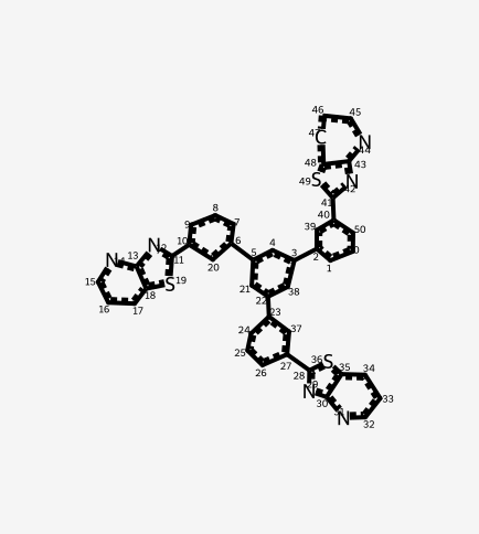 c1cc(-c2cc(-c3cccc(-c4nc5ncccc5s4)c3)cc(-c3cccc(-c4nc5ncccc5s4)c3)c2)cc(-c2nc3ncccc3s2)c1